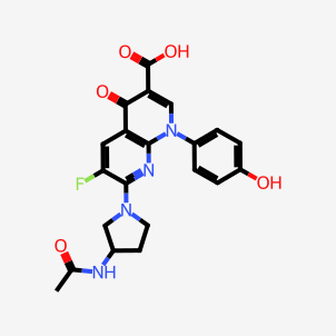 CC(=O)NC1CCN(c2nc3c(cc2F)c(=O)c(C(=O)O)cn3-c2ccc(O)cc2)C1